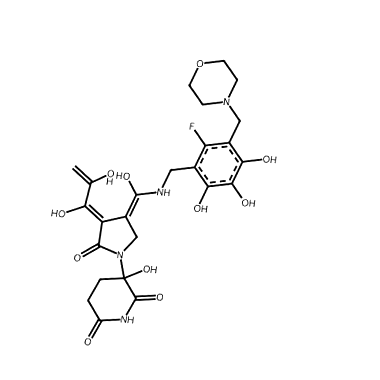 C=C(O)/C(O)=C1/C(=O)N(C2(O)CCC(=O)NC2=O)C/C1=C(/O)NCc1c(O)c(O)c(O)c(CN2CCOCC2)c1F